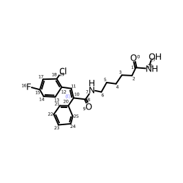 O=C(CCCCCNC(=O)/C(=C/c1ccc(F)cc1Cl)c1ccccc1)NO